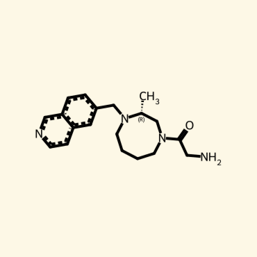 C[C@@H]1CN(C(=O)CN)CCCCN1Cc1ccc2cnccc2c1